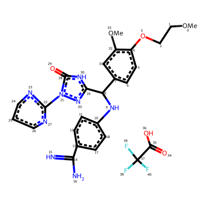 COCCOc1ccc(C(Nc2ccc(C(=N)N)cc2)c2nn(-c3ncccn3)c(=O)[nH]2)cc1OC.O=C(O)C(F)(F)F